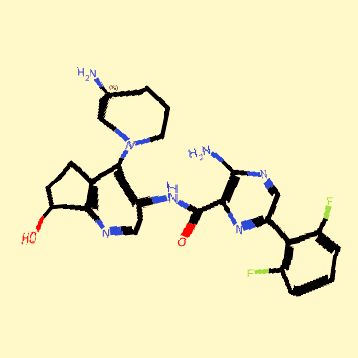 Nc1ncc(-c2c(F)cccc2F)nc1C(=O)Nc1cnc2c(c1N1CCC[C@H](N)C1)CCC2O